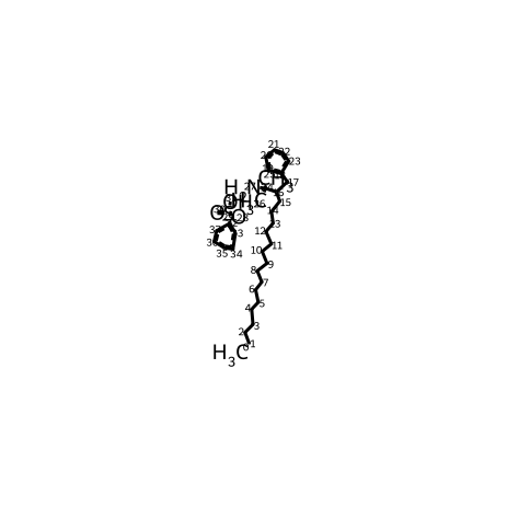 CCCCCCCCCCCCCCCCC(Cc1ccccc1)C(C)(C)N.O=S(=O)(O)c1ccccc1